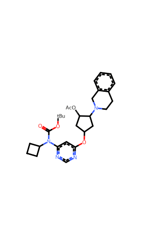 CC(=O)OC1CC(Oc2cc(N(C(=O)OC(C)(C)C)C3CCC3)ncn2)CC1N1CCc2ccccc2C1